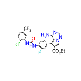 CCOC(=O)c1cn2ncnc(N)c2c1-c1ccc(NC(=O)Nc2cc(C(F)(F)F)ccc2Cl)c(F)c1